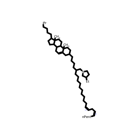 CCCCC/C=C\C/C=C\CCCCCCCCCCC(CCCCC1CCC2(C)C(=CCC3C2CCC2(C)C(CCCCC(C)C)CCC32)C1)CN1CCC(CC)C1